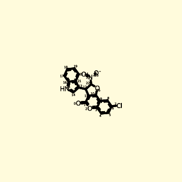 O=c1oc2ccc(Cl)cc2c2c1C(c1c[nH]c3ccccc13)C([N+](=O)[O-])O2